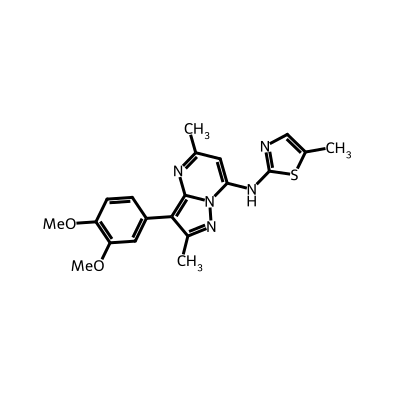 COc1ccc(-c2c(C)nn3c(Nc4ncc(C)s4)cc(C)nc23)cc1OC